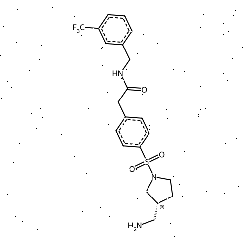 NC[C@H]1CCN(S(=O)(=O)c2ccc(CC(=O)NCc3cccc(C(F)(F)F)c3)cc2)C1